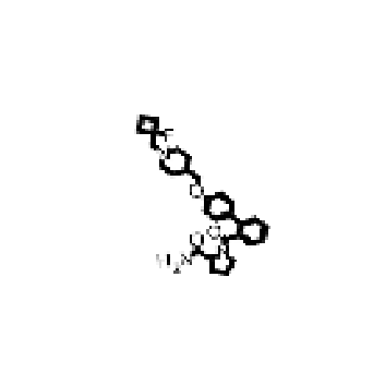 NC(=O)C1CCCN1C(=O)c1ccccc1-c1ccc(OCC2CCN(CC3(F)CCC3)CC2)cc1